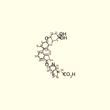 Cc1cc(OC2CCS(O)(O)CC2)cc(C)c1-c1cccc2c1CCC2Oc1cc2c(cn1)[C@H](CC(=O)O)CS2